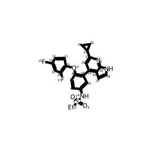 CCS(=O)(=O)Nc1ccc(Oc2ccc(F)cc2F)c(-c2cc(C3CC3)nc3[nH]ccc23)c1